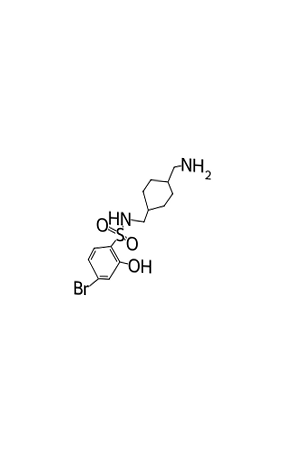 NCC1CCC(CNS(=O)(=O)c2ccc(Br)cc2O)CC1